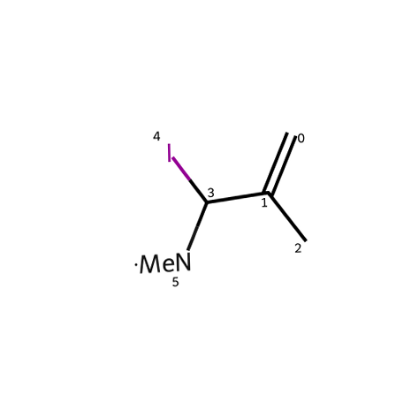 C=C(C)C(I)[N]C